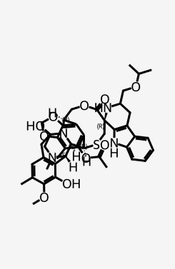 COc1c(C)cc2c(c1O)[C@H]1[C@@H]3[C@@H]4SC[C@]5(NC(COC(C)C)Cc6c5[nH]c5ccccc65)C(=O)OC[C@@H](c5c6c(c(C)c(OC(C)=O)c54)OCO6)N3C(O)(C2)CN1C